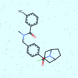 CN(Cc1ccc(C(=O)N2C3CCC2CC(F)C3)cc1)C(=O)c1cccc(C#N)c1